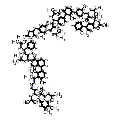 C=C(/C=N\C=C(/C)c1c(C)ccc(-c2cccc3c(=O)n([C@@H](CC(C)C)C(=O)N[C@@H](CC(=O)O)c4cccc(N5C(C)CC(Cc6ccn([C@@H](CC(C)C)C(=O)N[C@@H](CC(=O)O)c7cncc(-c8c(C)ccc(-c9ccn([C@H](CC(C)C)C(=O)N[C@@H](CC(=O)O)c%10cncc(-c%11c(C)cccc%11C)c%10)c(=O)c9)c8C)c7)c(=O)c6)C5C)c4)cnc23)c1C)[C@@H](CC(=O)O)NC(=O)[C@@H](CC(C)C)n1cc(C)c(C)cc1=O